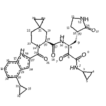 O=C(NC1CC1)C(=O)[C@H](C[C@@H]1CCNC1=O)NC(=O)[C@@H]1CC2(CCN1C(=O)c1cc3c(C4CC4)cccc3[nH]1)CC2